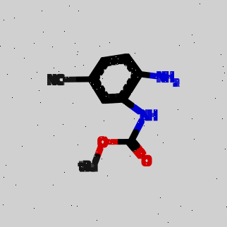 CC(C)(C)OC(=O)Nc1cc(C#N)ccc1N